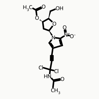 CC(=O)NC(Cl)(Cl)C#Cc1cc([N+](=O)[O-])n([C@H]2C[C@H](OC(C)=O)[C@@H](CO)O2)c1